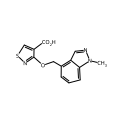 Cn1ncc2c(COc3nscc3C(=O)O)cccc21